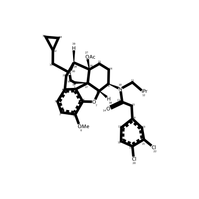 COc1ccc2c3c1O[C@H]1[C@H](N(CC(C)C)C(=O)Cc4ccc(Cl)c(Cl)c4)CC[C@@]4(OC(C)=O)[C@@H](C2)N(CC2CC2)CC[C@]314